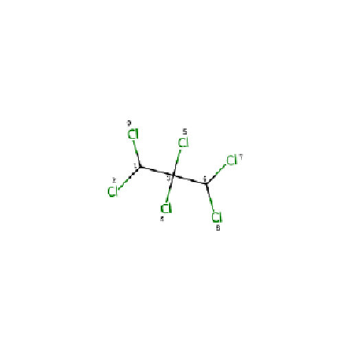 ClC(Cl)C(Cl)(Cl)C(Cl)Cl